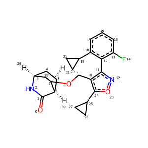 O=C1N[C@H]2CC[C@@H]1[C@H](OCc1c(-c3c(F)cccc3C3CC3)noc1C1CC1)C2